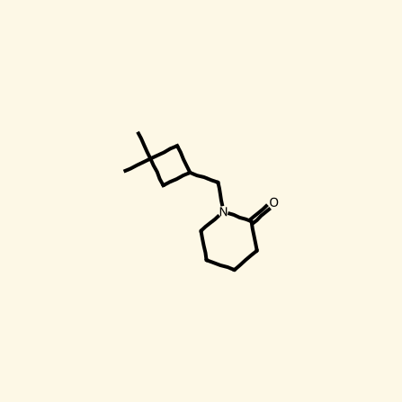 CC1(C)CC(CN2CCCCC2=O)C1